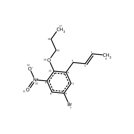 CC=CCc1cc(Br)cc([N+](=O)[O-])c1OCCC